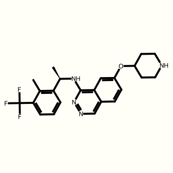 Cc1c([C@@H](C)Nc2nncc3ccc(OC4CCNCC4)cc23)cccc1C(F)(F)F